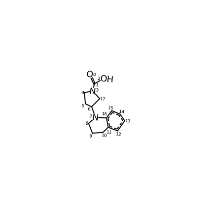 O=C(O)N1CCC(N2CCCc3ccccc32)C1